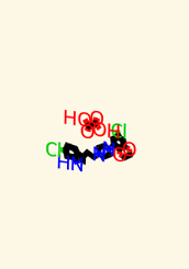 Clc1cc2c(c(N3CCN(CCc4c[nH]c5cc(Cl)ccc45)CC3)c1)OCCO2.O=C(O)C(=O)O